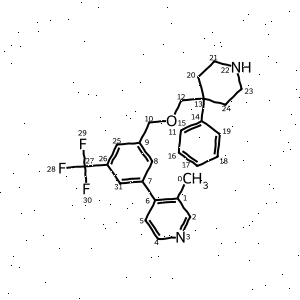 Cc1cnccc1-c1cc(COCC2(c3ccccc3)CCNCC2)cc(C(F)(F)F)c1